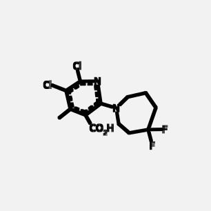 Cc1c(Cl)c(Cl)nc(N2CCCC(F)(F)CC2)c1C(=O)O